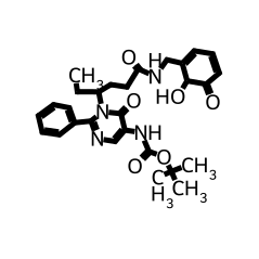 CCC(CCC(=O)NCC1=CC=CC(=O)C1O)n1c(-c2ccccc2)ncc(NC(=O)OC(C)(C)C)c1=O